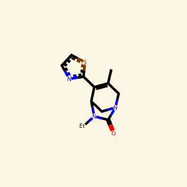 CCN1C(=O)N2CC(C)=C(c3nccs3)C1C2